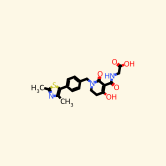 Cc1nc(C)c(-c2ccc(CN3CCC(O)=C(C(=O)NCC(=O)O)C3=O)cc2)s1